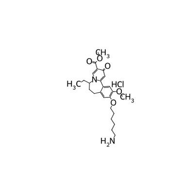 CCC1CCc2cc(OCCCCCCN)c(OC)cc2-c2cc(=O)c(C(=O)OC)cn21.Cl